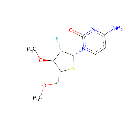 COC[C@H]1S[C@@H](n2ccc(N)nc2=O)[C@@H](F)[C@@H]1OC